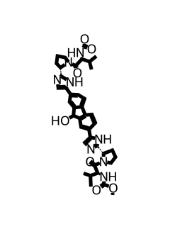 COC(=O)N[C@H](C(=O)N1CCC[C@H]1c1ncc(-c2ccc3c(c2)C(O)c2cc(-c4cnc([C@@H]5CCCN5C(=O)[C@@H](NC(=O)OC)C(C)C)[nH]4)ccc2-3)[nH]1)C(C)C